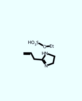 C=CCC1=NCCN1.CCOS(=O)(=O)O